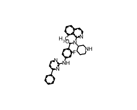 Cc1cccc2ccnc(N(C(=O)c3ccc(Nc4nccc(-c5ccccc5)n4)cc3F)[C@@H]3CCCNC3)c12